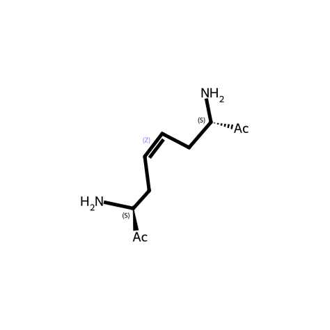 CC(=O)[C@@H](N)C/C=C\C[C@H](N)C(C)=O